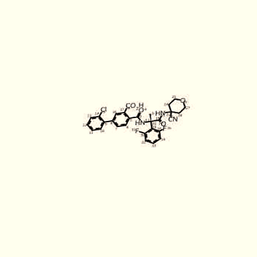 C[C@@](NC(=O)c1ccc(-c2ccccc2Cl)cc1C(=O)O)(C(=O)NC1(C#N)CCOCC1)c1c(F)cccc1F